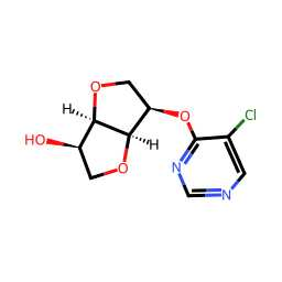 O[C@@H]1CO[C@H]2[C@@H]1OC[C@H]2Oc1ncncc1Cl